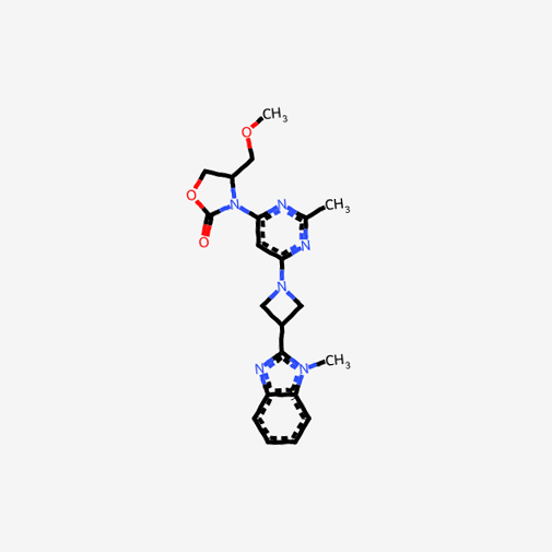 COCC1COC(=O)N1c1cc(N2CC(c3nc4ccccc4n3C)C2)nc(C)n1